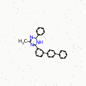 CC1=NC(c2ccccc2)NC(c2cccc(-c3ccc(-c4ccccc4)cc3)c2)=N1